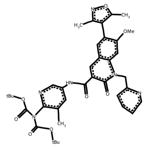 COc1cc2c(cc1-c1c(C)noc1C)cc(C(=O)Nc1cnc(N(C(=O)OC(C)(C)C)C(=O)OC(C)(C)C)c(C)c1)c(=O)n2Cc1ccccn1